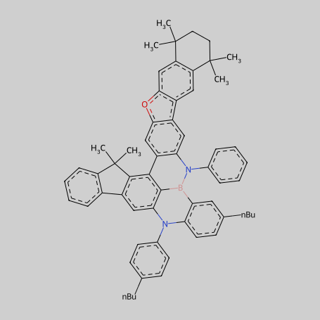 CCCCc1ccc(N2c3ccc(CCCC)cc3B3c4c2cc2c(c4-c4cc5oc6cc7c(cc6c5cc4N3c3ccccc3)C(C)(C)CCC7(C)C)C(C)(C)c3ccccc3-2)cc1